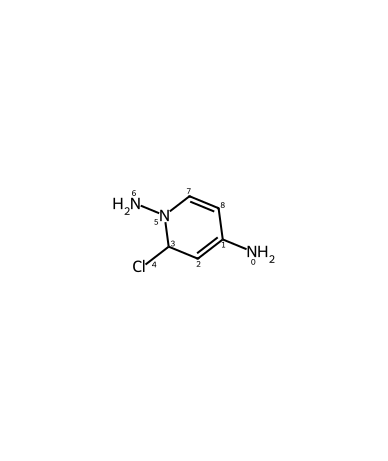 NC1=CC(Cl)N(N)C=C1